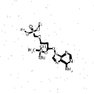 CCOP(=O)(COCCC(On1cnc2c(N)ncnc21)O[Si](C)(C)C(C)(C)C)OCC